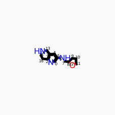 c1nc2c(cc1NCC1CCCO1)CNCC2